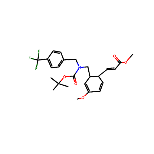 COC(=O)C=CC1C=CC(OC)=CC1CN(Cc1ccc(C(F)(F)F)cc1)C(=O)OC(C)(C)C